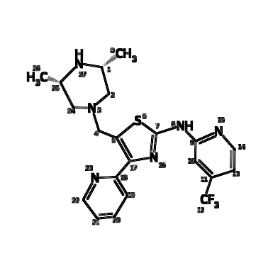 C[C@@H]1CN(Cc2sc(Nc3cc(C(F)(F)F)ccn3)nc2-c2ccccn2)C[C@H](C)N1